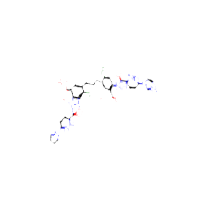 O=C(Nc1cc(F)c(CCCc2cc(C(=O)O)c(NC(=O)c3ccc(-n4ccnc4)nn3)cc2F)cc1C(=O)O)c1ccc(-n2cccc2)nn1